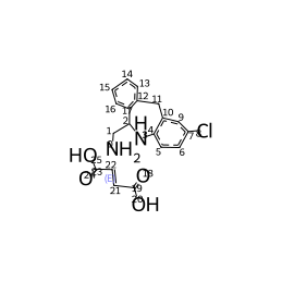 NCC1Nc2ccc(Cl)cc2Cc2ccccc21.O=C(O)/C=C/C(=O)O